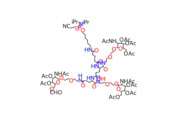 CC(=O)NC1C(OCCOCCNC(=O)CCC(NC(O)CCC(NC(=O)CCCC(=O)NCCCCCCOP(OCCC#N)N(C(C)C)C(C)C)C(=O)NCCOCCOC2OC(COC(C)=O)C(OC(C)=O)C(OC(C)=O)C2NC(C)=O)C(=O)NCCOCCOC2OC(COC(C)=O)C(OC(C)=O)C(OC(C)=O)C2NC(C)=O)OC(COC=O)C(OC(C)=O)C1OC(C)=O